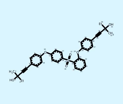 CCC(C)(O)C#Cc1ccc(Oc2ccc(S(=O)(=O)c3ccccc3Oc3ccc(C#CC(C)(O)CC)cc3)cc2)cc1